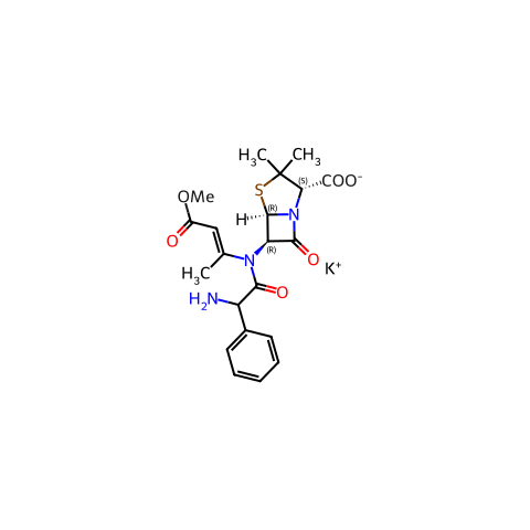 COC(=O)C=C(C)N(C(=O)C(N)c1ccccc1)[C@@H]1C(=O)N2[C@@H]1SC(C)(C)[C@@H]2C(=O)[O-].[K+]